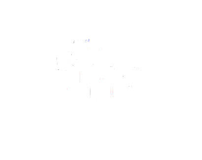 CCC(C)(C)C(=O)OC(C)C(=O)OC1C2CC3C1NS(=O)(=O)C3C2